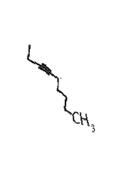 CCCC[CH]C#CCI